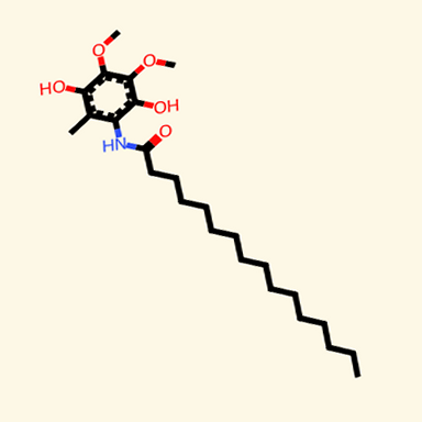 CCCCCCCCCCCCCCCC(=O)Nc1c(C)c(O)c(OC)c(OC)c1O